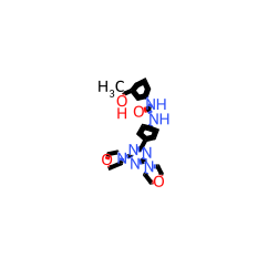 CC(O)c1cccc(NC(=O)Nc2ccc(-c3nc(N4CCOCC4)nc(N4CCOCC4)n3)cc2)c1